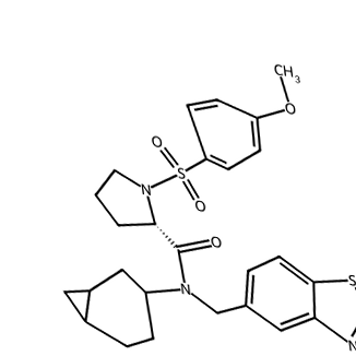 COc1ccc(S(=O)(=O)N2CCC[C@H]2C(=O)N(Cc2ccc3scnc3c2)C2CCC3CC3C2)cc1